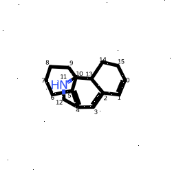 C1=CC2=CC3=C4CCCCC4(NC3)C2CC1